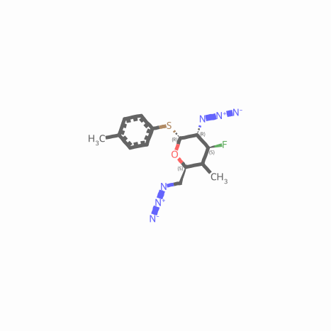 Cc1ccc(S[C@H]2O[C@H](CN=[N+]=[N-])C(C)[C@H](F)[C@H]2N=[N+]=[N-])cc1